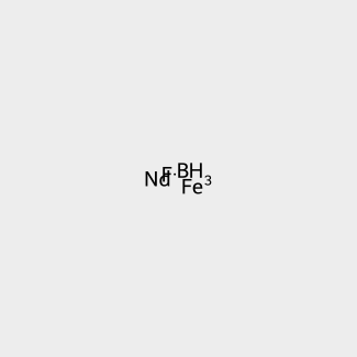 B.[F].[Fe].[Nd]